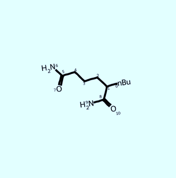 CCCCC(CCCC(N)=O)C(N)=O